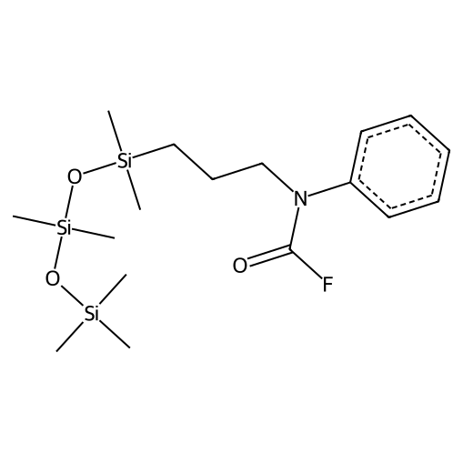 C[Si](C)(C)O[Si](C)(C)O[Si](C)(C)CCCN(C(=O)F)c1ccccc1